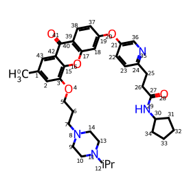 Cc1cc(OCCCN2CCN(C(C)C)CC2)c2oc3cc(Oc4ccc(CCC(=O)NC5CCCC5)nc4)ccc3c(=O)c2c1